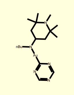 CCCC[N]([Au][c]1ncncn1)C1CC(C)(C)N(C)C(C)(C)C1